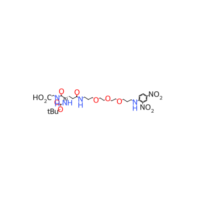 CC(C)(C)OC(=O)N[C@@H](CCC(=O)NCCCOCCOCCOCCCNc1ccc([N+](=O)[O-])cc1[N+](=O)[O-])C(=O)NCC(=O)O